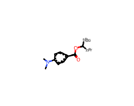 CCCCC(CCC)OC(=O)c1ccc(N(C)C)cc1